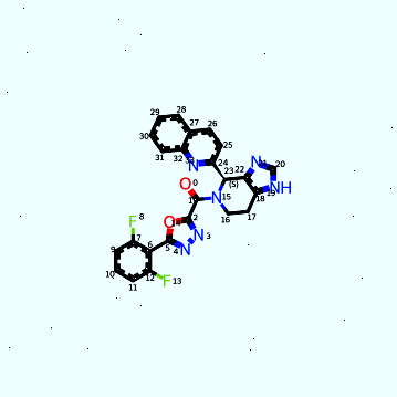 O=C(c1nnc(-c2c(F)cccc2F)o1)N1CCc2[nH]cnc2[C@@H]1c1ccc2ccccc2n1